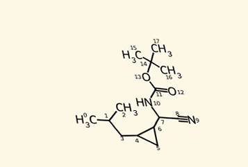 CC(C)CC1CC1C(C#N)NC(=O)OC(C)(C)C